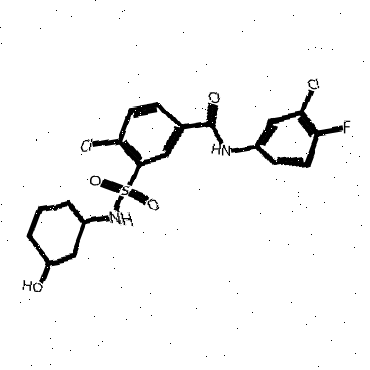 O=C(Nc1ccc(F)c(Cl)c1)c1ccc(Cl)c(S(=O)(=O)NC2CCCC(O)C2)c1